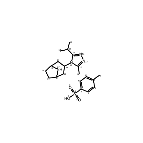 Cc1ccc(S(=O)(=O)O)cc1.Cc1nnc(C(C)C)n1C1CC2CCC(C1)N2